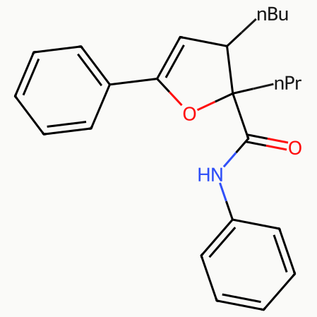 CCCCC1C=C(c2ccccc2)OC1(CCC)C(=O)Nc1ccccc1